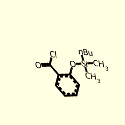 CCCC[Si](C)(C)Oc1ccccc1C(=O)Cl